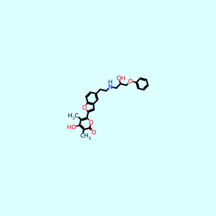 Cc1c(-c2cc3cc(CCNCC(O)COc4ccccc4)ccc3o2)oc(=O)c(C)c1O